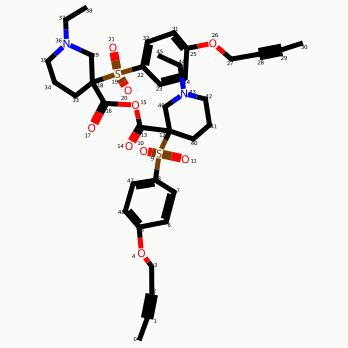 CC#CCOc1ccc(S(=O)(=O)C2(C(=O)OC(=O)C3(S(=O)(=O)c4ccc(OCC#CC)cc4)CCCN(CC)C3)CCCN(CC)C2)cc1